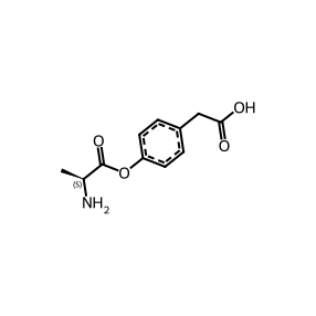 C[C@H](N)C(=O)Oc1ccc(CC(=O)O)cc1